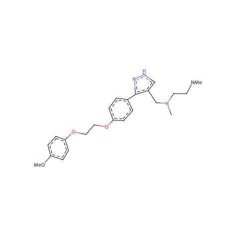 CNCCN(C)Cc1c[nH]nc1-c1ccc(OCCOc2ccc(OC)cc2)cc1